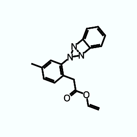 C=COC(=O)Cc1ccc(C)cc1-n1n2c3ccccc3n12